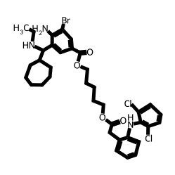 CCNC(c1cc(C(=O)OCCCCCOC(=O)Cc2ccccc2Nc2c(Cl)cccc2Cl)cc(Br)c1N)C1CCCCCC1